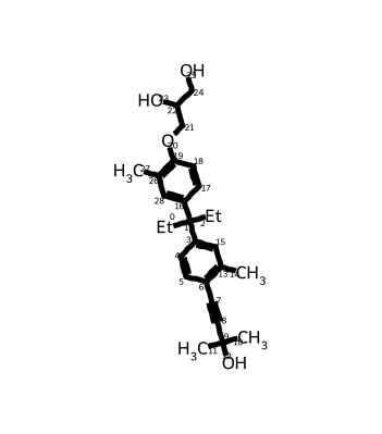 CCC(CC)(c1ccc(C#CC(C)(C)O)c(C)c1)c1ccc(OCC(O)CO)c(C)c1